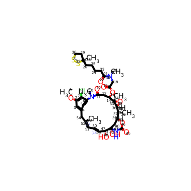 COc1cc2cc(c1Cl)N(C)C(=O)CC(OC(=O)CN(C)C(=O)CCCC[C@]1(C)CCSS1)[C@]1(C)O[C@H]1[C@H](C)[C@@H]1C[C@@](O)(NC(=O)O1)[C@H](O)/C=C/C=C(\C)C2